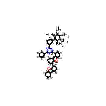 Bc1c(B)c(-c2cccc(-c3nc(-c4ccccc4)nc(-c4cccc5oc6c(-c7cccc8c7oc7ccccc78)cccc6c45)n3)c2)c(B)c(C)c1C